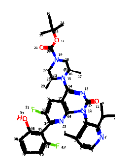 Cc1ccnc(C(C)C)c1-n1c(=O)nc(N2[C@H](C)CN(C(=O)OC(C)(C)C)C[C@@H]2C)c2cc(F)c(-c3c(O)cccc3F)nc21